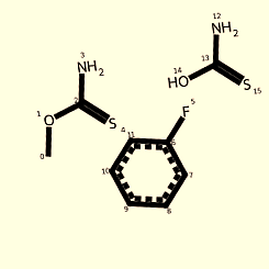 COC(N)=S.Fc1ccccc1.NC(O)=S